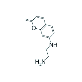 C=C1C=Cc2ccc(NCCN)cc2O1